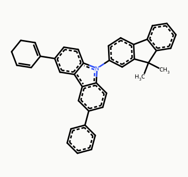 CC1(C)c2ccccc2-c2ccc(-n3c4ccc(C5=CCCC=C5)cc4c4cc(-c5ccccc5)ccc43)cc21